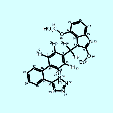 [2H]c1c([2H])c(C([2H])([2H])n2c(OCC)nc3cccc(OC(=O)O)c32)c([2H])c([2H])c1-c1ccccc1-c1nnn[nH]1